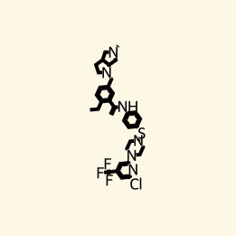 C=C(Nc1ccc(SN2CCN(c3cc(C(F)(F)F)cc(Cl)n3)CC2)cc1)c1cc(CN2CCC3CN(C)CC32)ccc1CC